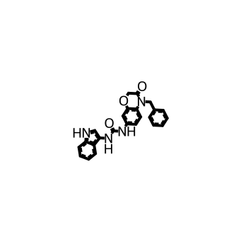 O=C(Nc1ccc2c(c1)OCC(=O)N2Cc1ccccc1)Nc1c[nH]c2ccccc12